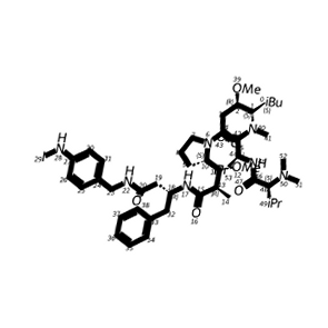 CC[C@H](C)[C@@H]([C@@H](CC(=O)N1CCC[C@H]1[C@H](OC)[C@@H](C)C(=O)N[C@@H](CC(=O)NCc1ccc(NI)cc1)Cc1ccccc1)OC)N(C)C(=O)[C@@H](NC(=O)[C@H](C(C)C)N(C)C)C(C)C